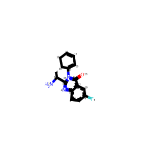 CC(N)c1nc2ccc(F)cc2c(=O)n1C1=CC=CCC1